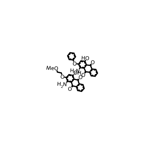 COCCOc1cc(O)c2c(c1N)C(=O)c1ccccc1C2=O.Nc1c(Oc2ccccc2)cc(O)c2c1C(=O)c1ccccc1C2=O